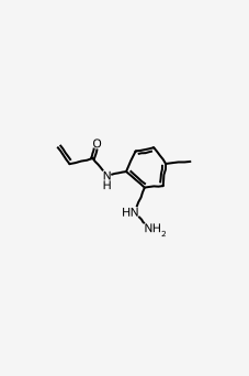 C=CC(=O)Nc1ccc(C)cc1NN